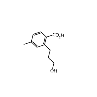 Cc1ccc(C(=O)O)c(CCCO)c1